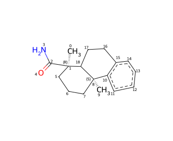 C[C@@]1(C(N)=O)CCC[C@]2(C)c3ccccc3CCC12